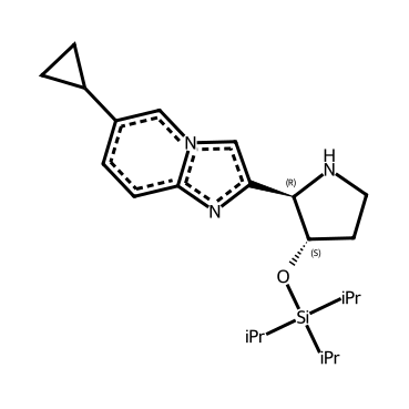 CC(C)[Si](O[C@H]1CCN[C@@H]1c1cn2cc(C3CC3)ccc2n1)(C(C)C)C(C)C